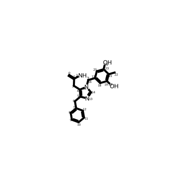 C=C(N)Cc1c(Cc2ccccc2)ncn1Cc1cc(O)c(C)c(O)c1